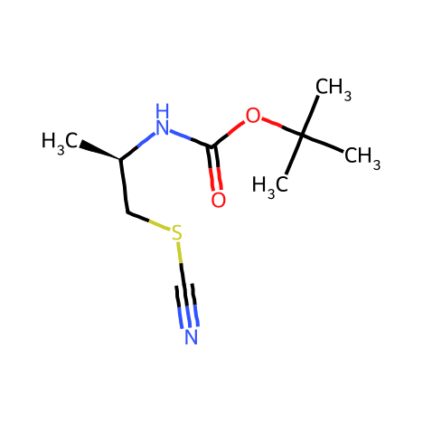 C[C@H](CSC#N)NC(=O)OC(C)(C)C